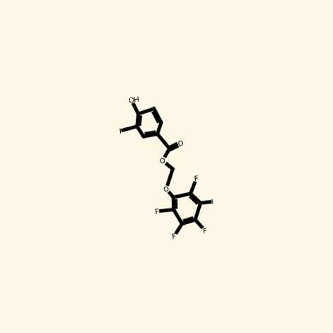 O=C(OCOc1c(F)c(F)c(F)c(I)c1F)c1ccc(O)c(I)c1